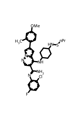 CCCSNC1CCC(Nc2c(/C(N)=N/c3cc(F)ccc3Cl)cnn3cc(-c4ccc(OC)cc4C)cc23)CC1